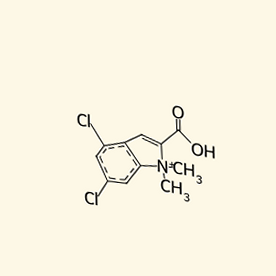 C[N+]1(C)C(C(=O)O)=Cc2c(Cl)cc(Cl)cc21